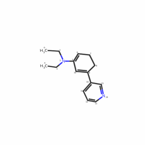 CCN(CC)C1=CCCC(c2cccnc2)=C1